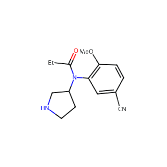 CCC(=O)N(c1cc(C#N)ccc1OC)C1CCNC1